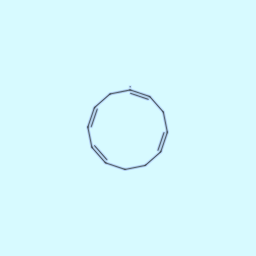 [C]1=CCC=CCCC=CC=CC1